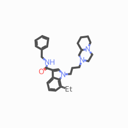 CCc1cccc2c(C(=O)NCc3ccccc3)cn(CCCN3CCN4CCCCC4C3)c12